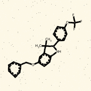 CC1(C)c2cc(OCc3ccccc3)ccc2NC1c1ccc(OC(F)(F)F)cc1